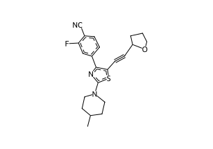 CC1CCN(c2nc(-c3ccc(C#N)c(F)c3)c(C#CC3CCCO3)s2)CC1